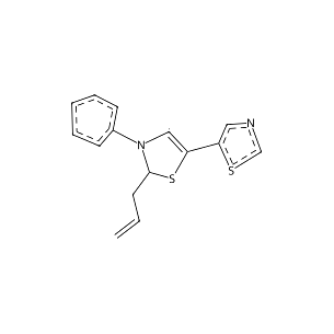 C=CCC1SC(c2cncs2)=[C]N1c1ccccc1